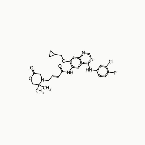 CC1(C)COC(=O)CN1C/C=C/C(=O)Nc1cc2c(Nc3ccc(F)c(Cl)c3)ncnc2cc1OCC1CC1